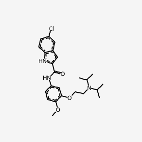 COc1ccc(NC(=O)c2cc3cc(Cl)ccc3[nH]2)cc1OCCN(C(C)C)C(C)C